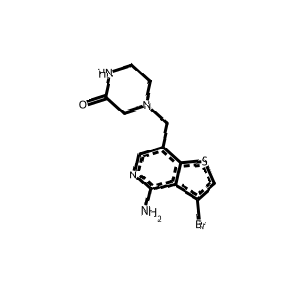 Nc1ncc(CN2CCNC(=O)C2)c2scc(Br)c12